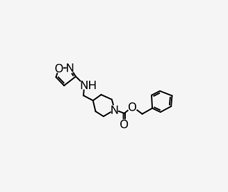 O=C(OCc1ccccc1)N1CCC(CNc2ccon2)CC1